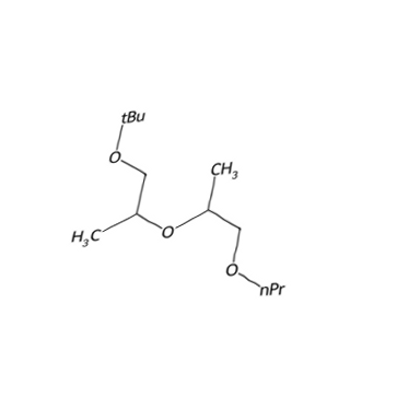 CCCOCC(C)OC(C)COC(C)(C)C